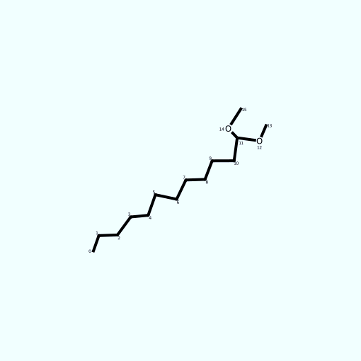 CCCCCCCCCCCC(OC)OC